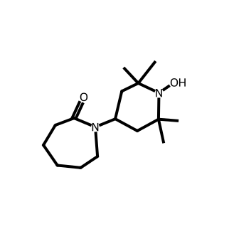 CC1(C)CC(N2CCCCCC2=O)CC(C)(C)N1O